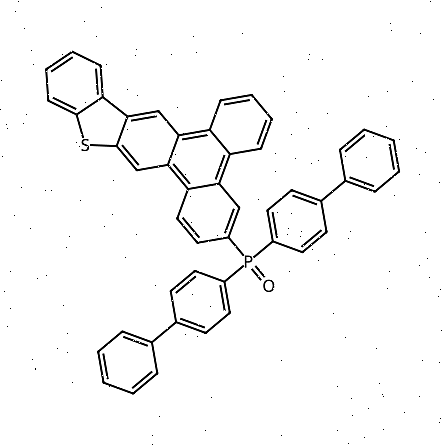 O=P(c1ccc(-c2ccccc2)cc1)(c1ccc(-c2ccccc2)cc1)c1ccc2c(c1)c1ccccc1c1cc3c(cc21)sc1ccccc13